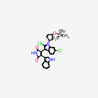 CC(C)(C)[Si](C)(C)O[C@H]1C=CC(n2c(Cl)c(C3=C(c4c[nH]c5ccccc45)C(=O)NC3=O)c3ccc(Cl)cc32)C1